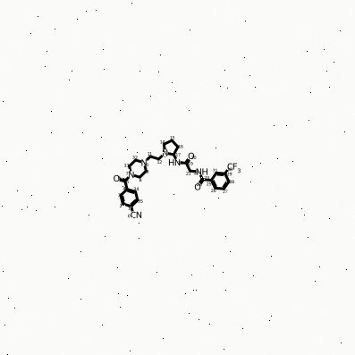 N#Cc1ccc(C(=O)N2CCN(CCN3CCCC3NC(=O)CNC(=O)c3cccc(C(F)(F)F)c3)CC2)cc1